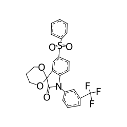 O=C1N(c2cccc(C(F)(F)F)c2)c2ccc(S(=O)(=O)c3ccccc3)cc2C12OCCCO2